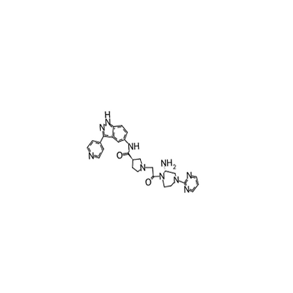 N[C@@H]1CN(c2ncccn2)CCN1C(=O)CN1CC[C@@H](C(=O)Nc2ccc3[nH]nc(-c4ccncc4)c3c2)C1